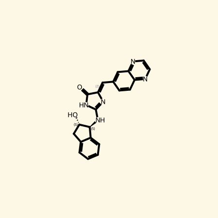 O=C1NC(N[C@H]2c3ccccc3C[C@@H]2O)=N/C1=C\c1ccc2nccnc2c1